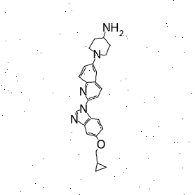 NC1CCN(c2ccc3nc(-n4cnc5cc(OCC6CC6)ccc54)ccc3c2)CC1